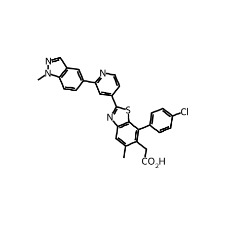 Cc1cc2nc(-c3ccnc(-c4ccc5c(cnn5C)c4)c3)sc2c(-c2ccc(Cl)cc2)c1CC(=O)O